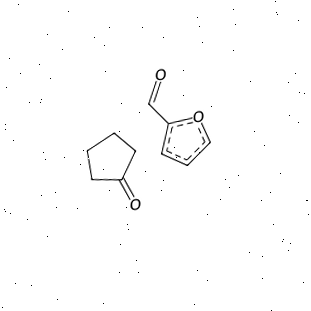 O=C1CCCC1.O=Cc1ccco1